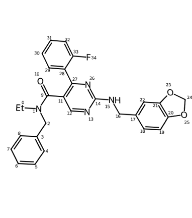 CCN(Cc1ccccc1)C(=O)c1cnc(NCc2ccc3c(c2)OCO3)nc1-c1ccccc1F